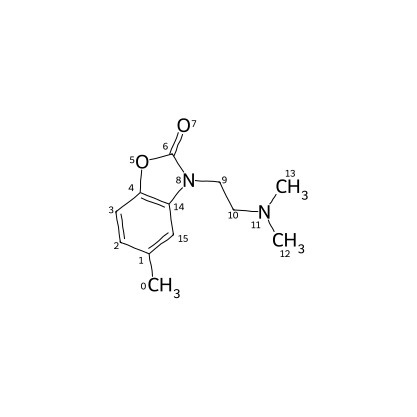 Cc1ccc2oc(=O)n(CCN(C)C)c2c1